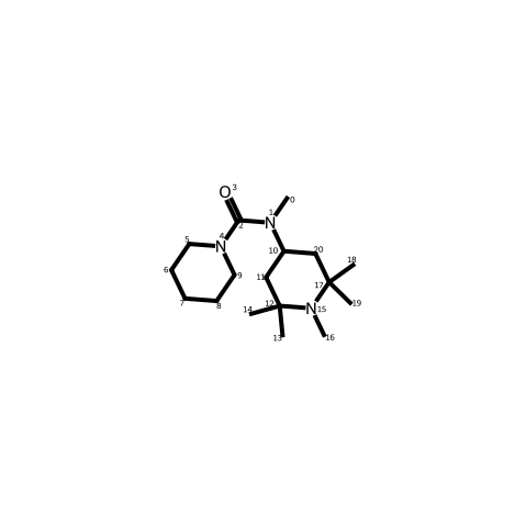 CN(C(=O)N1CCCCC1)C1CC(C)(C)N(C)C(C)(C)C1